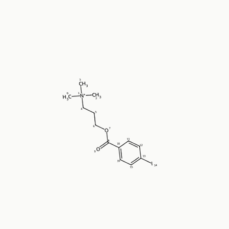 C[N+](C)(C)CCCOC(=O)c1ccc(I)cc1